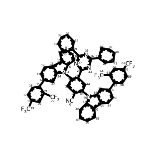 N#Cc1cc(-n2c3ccccc3c3ccc(-c4ccc(C(F)(F)F)cc4C(F)(F)F)cc32)c(-c2nc(-c3ccccc3)nc(-c3ccccc3)n2)cc1-n1c2ccccc2c2ccc(-c3ccc(C(F)(F)F)cc3C(F)(F)F)cc21